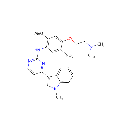 COc1cc(OCCN(C)C)c([N+](=O)[O-])cc1Nc1nccc(-c2cn(C)c3ccccc23)n1